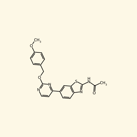 COc1ccc(COc2nccc(-c3ccc4nc(NC(C)=O)sc4c3)n2)cc1